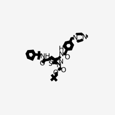 CN1CCN(Cc2ccc(C(=O)Nc3nn(C(=O)OCC(C)(C)C)c4sc(C(=O)NC(C)(C)c5ccccc5)cc34)cc2)CC1